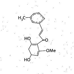 COC1=CC(O)CC(O)=C1C(=O)/C=C/c1cccc(C)c1